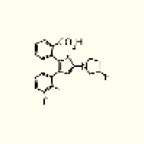 O=C(O)c1ccccc1-c1sc(N2CCC(F)C2)cc1-c1cccc(F)c1F